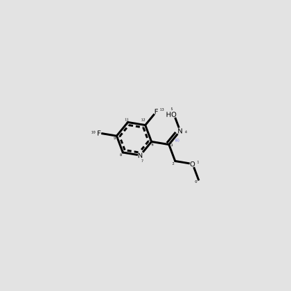 COC/C(=N/O)c1ncc(F)cc1F